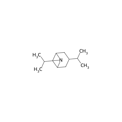 CC(C)C1CC2N3C(C1)C23C(C)C